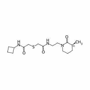 C[C@H]1CCCN(CCNC(=O)CSCC(=O)NC2CCC2)C1=O